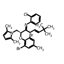 Cc1cc(Br)c(O[C@@H](Cn2c(C)ccc2C)/C(C/C=C/C(C)(C)C)=N/c2ccccc2Cl)c(Br)c1